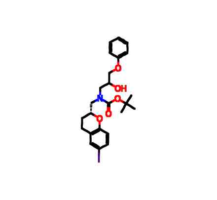 CC(C)(C)OC(=O)N(CC(O)COc1ccccc1)C[C@H]1CCc2cc(I)ccc2O1